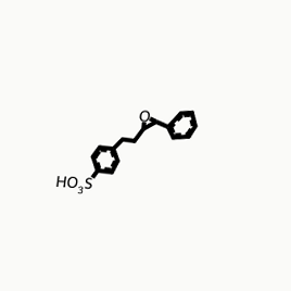 O=S(=O)(O)c1ccc(CCC2OC2c2ccccc2)cc1